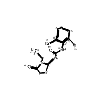 CCN1C(=O)CSC1=NC(=O)Nc1c(Br)cccc1Br